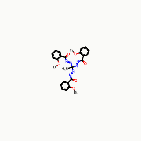 CCOc1ccccc1C(=O)N=NC([SiH3])(N=NC(=O)c1ccccc1OCC)N=NC(=O)c1ccccc1OCC